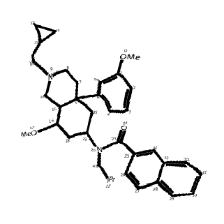 COc1cccc(C23CCN(CC4CC4)CC2C(OC)CC(N(CC(C)C)C(=O)c2ccc4ccccc4c2)C3)c1